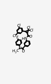 CN(C(=O)c1cccc(NC(=O)C2C(c3cc(Cl)cc(Cl)c3)C2(Cl)Cl)c1)c1ccc(F)cc1